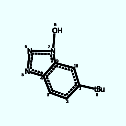 CC(C)(C)c1ccc2nnn(O)c2c1